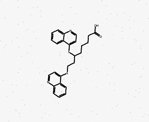 O=C(O)CCCCC(CCSc1ccnc2ccccc12)Sc1ccnc2ccccc12